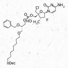 CCCCCCCCCCCCCCCCCCOC[C@@H](COP(=O)(O)OC[C@@]1(CCl)O[C@@H](n2ccc(N)nc2=O)[C@H](F)[C@@H]1C)OCc1ccccc1